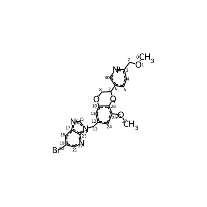 COCc1ccc(C2COc3cc(Cn4cnc5cc(Br)cnc54)cc(OC)c3O2)cn1